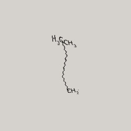 [CH2]CCCCCCCCCCCCCCCCCCCCCC(C)C